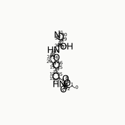 CCCS(=O)(=O)NC(=O)c1cccc(-c2ccc3c(c2)CC[C@H](CNC[C@H](O)c2cccnc2)O3)c1